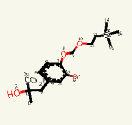 CC(O)(Cc1ccc(OCOCC[Si](C)(C)C)c(Br)c1)C(=O)O